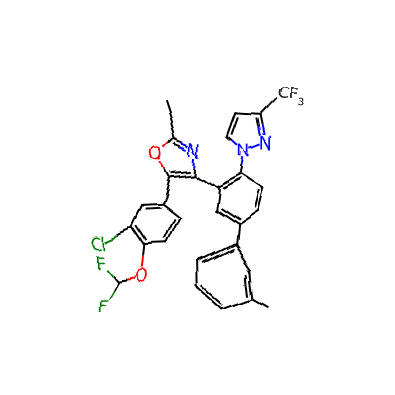 Cc1cccc(-c2ccc(-n3ccc(C(F)(F)F)n3)c(-c3nc(C)oc3-c3ccc(OC(F)F)c(Cl)c3)c2)c1